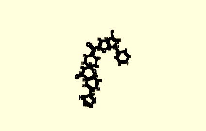 Cc1nn(-c2ccccc2)c2oc(C(=O)N3CCC4(CC3)CC(=O)c3cc(-c5nnn[nH]5)ccc3O4)cc12